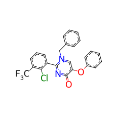 O=c1nc(-c2cccc(C(F)(F)F)c2Cl)n(Cc2ccccc2)cc1Oc1ccccc1